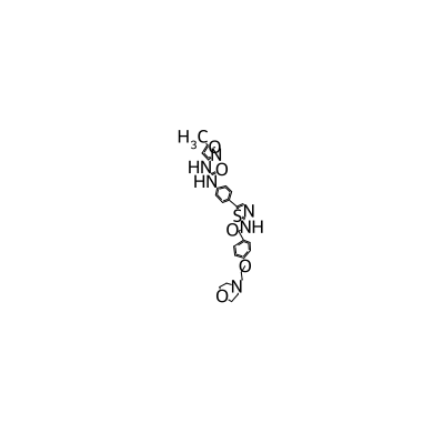 Cc1cc(NC(=O)Nc2ccc(-c3cnc(NC(=O)c4ccc(OCCN5CCOCC5)cc4)s3)cc2)no1